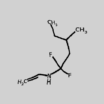 C=CNC(F)(F)CC(C)CC